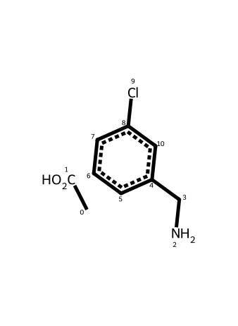 CC(=O)O.NCc1cccc(Cl)c1